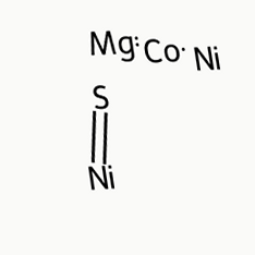 [Co].[Mg].[Ni].[S]=[Ni]